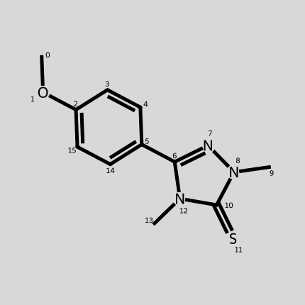 COc1ccc(-c2nn(C)c(=S)n2C)cc1